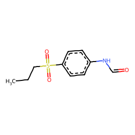 CCCS(=O)(=O)c1ccc(NC=O)cc1